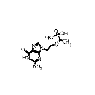 CC(OCCn1cnc2c(=O)[nH]c(N)nc21)P(=O)(O)O